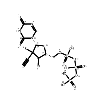 C#CC1(F)C(O)[C@@H](COP(=O)(O)OP(=O)(O)OP(=O)(O)O)O[C@H]1n1cnc(=O)[nH]c1=O